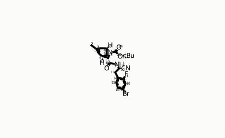 CC1C2C1[C@@H]1C[C@H]2[C@@H](C(=O)N[C@H](C#N)Cc2ccc(Br)cc2F)N1C(=O)OC(C)(C)C